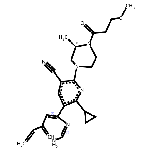 C=CC(=C)/C=C(\N=C/N)c1cc(C#N)c(N2CCN(C(=O)CCOC)[C@H](C)C2)nc1C1CC1